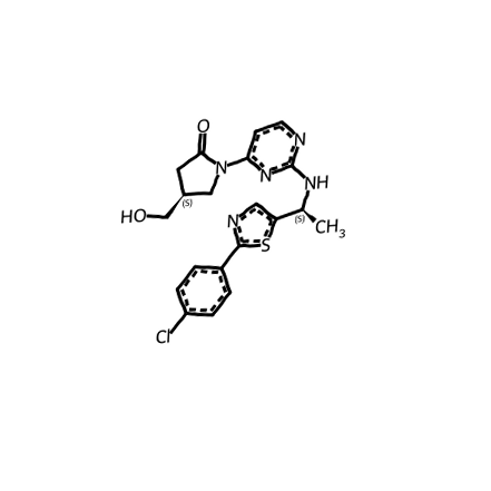 C[C@H](Nc1nccc(N2C[C@@H](CO)CC2=O)n1)c1cnc(-c2ccc(Cl)cc2)s1